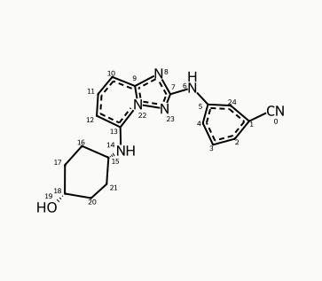 N#Cc1cccc(Nc2nc3cccc(N[C@H]4CC[C@@H](O)CC4)n3n2)c1